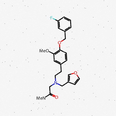 CNC(=O)CN(CCc1ccc(OCc2cccc(F)c2)c(OC)c1)Cc1ccoc1